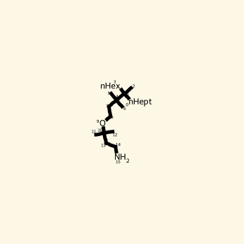 CCCCCCCC(C)(CCCCCC)C(C)(C)CCOC(C)(C)CCN